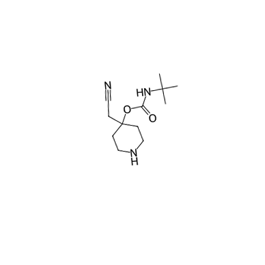 CC(C)(C)NC(=O)OC1(CC#N)CCNCC1